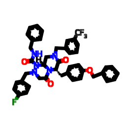 O=C1[C@H](Cc2ccc(OCc3ccccc3)cc2)N2C(=O)CN(Cc3ccc(F)cc3)N(C(=O)NCc3ccccc3)[C@H]2CN1Cc1cccc(C(F)(F)F)c1